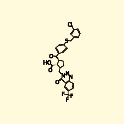 O=C(O)[C@H]1[C@H](Cn2nnc3ccc(C(F)(F)F)cc3c2=O)CC[C@@H]1C(=O)c1ccc(SCc2cccc(Cl)c2)cc1